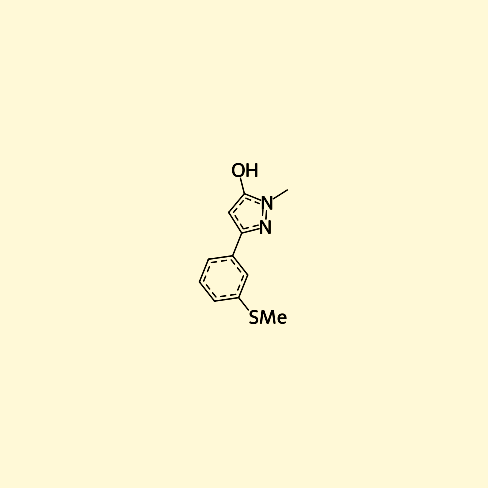 CSc1cccc(-c2cc(O)n(C)n2)c1